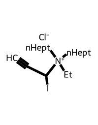 C#CC(I)[N+](CC)(CCCCCCC)CCCCCCC.[Cl-]